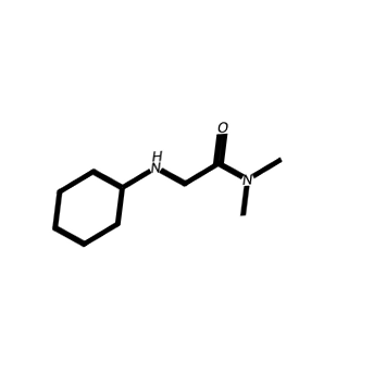 CN(C)C(=O)CNC1CCCCC1